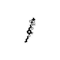 CCCCCOc1ccc(CC(=O)CNC(=O)OC(C)(C)C)cc1F